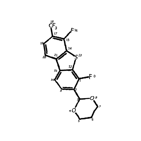 Fc1c(C2OCCCO2)ccc2c1sc1c(F)c(C(F)(F)F)ccc12